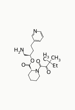 CCC(C)(C)C(=O)C(=O)N1CCCC[C@H]1C(=O)O[C@@H](CN)CCc1cccnc1